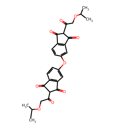 CC(C)OCC(=O)C1C(=O)c2ccc(Oc3ccc4c(c3)C(=O)C(C(=O)COC(C)C)C4=O)cc2C1=O